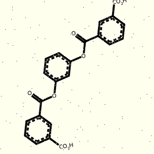 O=C(O)c1cccc(C(=O)Oc2cccc(OC(=O)c3cccc(C(=O)O)c3)c2)c1